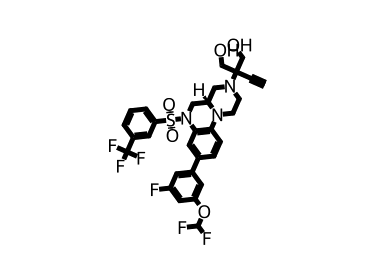 C#CC(CO)(CO)N1CCN2c3ccc(-c4cc(F)cc(OC(F)F)c4)cc3N(S(=O)(=O)c3cccc(C(F)(F)F)c3)C[C@@H]2C1